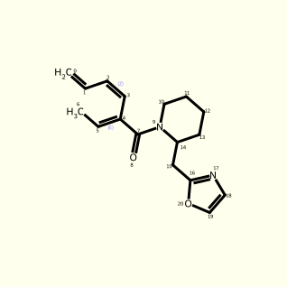 C=C/C=C\C(=C/C)C(=O)N1CCCCC1Cc1ncco1